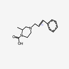 CC1CN(C/C=C/c2ccccc2)CCN1C(=O)O